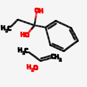 C=CC.CCC(O)(O)c1ccccc1.O